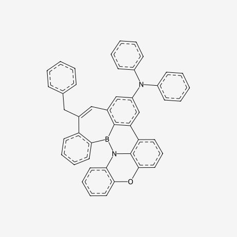 C1=C(Cc2ccccc2)c2ccccc2B2c3c1cc(N(c1ccccc1)c1ccccc1)cc3-c1cccc3c1N2c1ccccc1O3